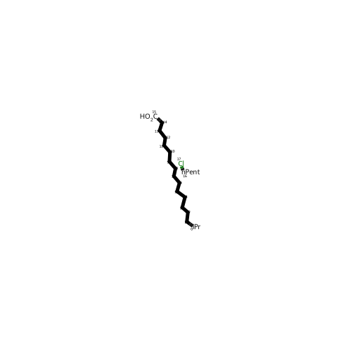 CC(C)CCCCCCCCCCCCCCC(=O)O.CCCCCCl